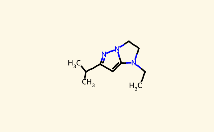 CCN1CCn2nc(C(C)C)cc21